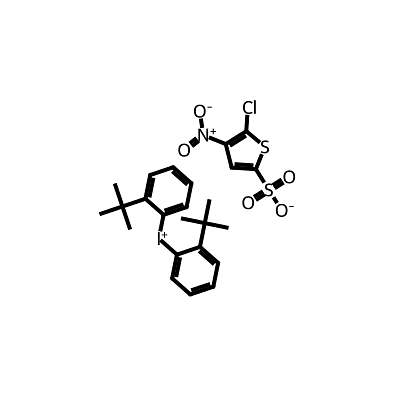 CC(C)(C)c1ccccc1[I+]c1ccccc1C(C)(C)C.O=[N+]([O-])c1cc(S(=O)(=O)[O-])sc1Cl